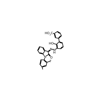 Cc1ccc(N2C(=O)/C(=N\Nc3cccc(-c4cccc(C(=O)O)c4)c3O)c3ccccc32)c(F)c1